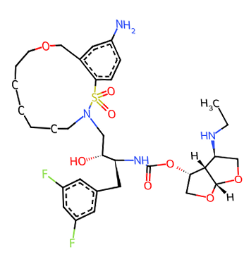 CCN[C@H]1CO[C@@H]2OC[C@H](OC(=O)N[C@@H](Cc3cc(F)cc(F)c3)[C@H](O)CN3CCCCCCCOCc4cc(N)ccc4S3(=O)=O)[C@@H]21